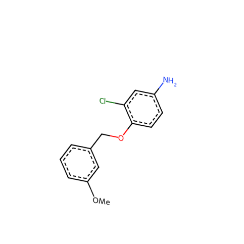 COc1cccc(COc2ccc(N)cc2Cl)c1